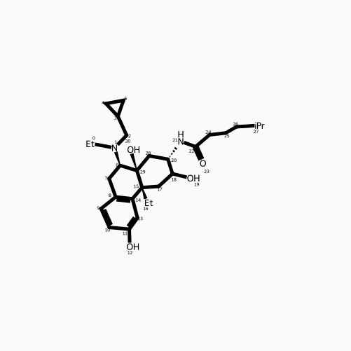 CCN(CC1CC1)[C@@H]1Cc2ccc(O)cc2[C@@]2(CC)CC(O)[C@@H](NC(=O)CCCC(C)C)C[C@@]12O